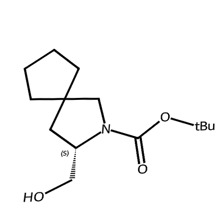 CC(C)(C)OC(=O)N1CC2(CCCC2)C[C@H]1CO